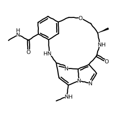 CNC(=O)c1ccc2cc1Nc1cc(NC)n3ncc(c3n1)C(=O)N[C@H](C)COC2